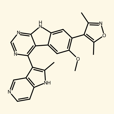 COc1cc2c(cc1-c1c(C)noc1C)[nH]c1ncnc(-c3c(C)[nH]c4ccncc34)c12